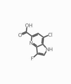 O=C(O)c1cc(Cl)c2[nH]cc(F)c2n1